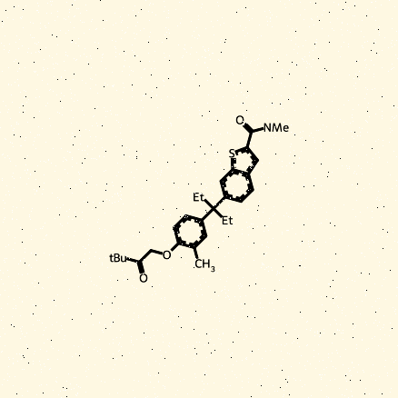 CCC(CC)(c1ccc(OCC(=O)C(C)(C)C)c(C)c1)c1ccc2cc(C(=O)NC)sc2c1